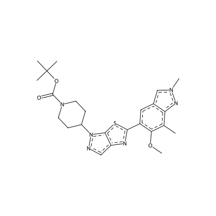 COc1c(-c2nc3cnn(C4CCN(C(=O)OC(C)(C)C)CC4)c3s2)cc2cn(C)nc2c1C